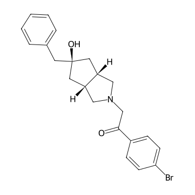 O=C(CN1C[C@@H]2C[C@](O)(Cc3ccccc3)C[C@@H]2C1)c1ccc(Br)cc1